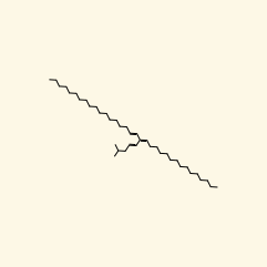 CCCCCCCCCCCCCCC=C(C=CCCCCCCCCCCCCCCCC)C=CCC(C)C